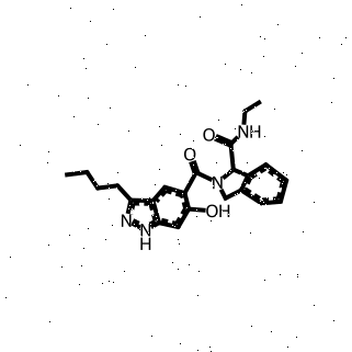 CCCCc1n[nH]c2cc(O)c(C(=O)N3Cc4ccccc4C3C(=O)NCC)cc12